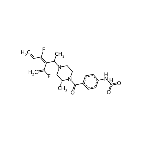 C=C/C(F)=C(\C(=C)F)C(C)N1CCN(C(=O)c2ccc(N[SH](=O)=O)cc2)[C@H](C)C1